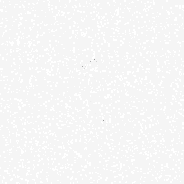 COc1cc(S(=O)(=O)C2CN(C)c3ccccc32)cc2c3c(n(C)c12)CC1CCC3N1